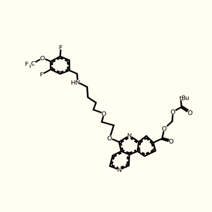 CC(C)(C)C(=O)OCOC(=O)c1ccc2c(c1)nc(OCCOCCCCNCc1cc(F)c(OC(F)(F)F)c(F)c1)c1ccncc12